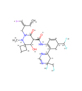 C=C/C(=C/I)CN1C(=O)[C@@H](C(=O)NC2=C(C3=NC=NC(F)(CF)C3)CC(C(F)F)C=C2)C(O)C2(CCC2)N1C